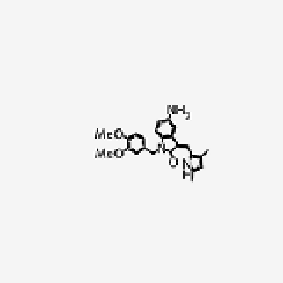 COc1ccc(CN2C(=O)/C(=C\c3[nH]c(C)cc3C)c3cc(N)ccc32)cc1OC